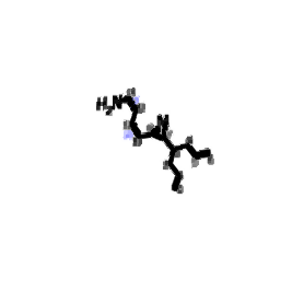 C=CCC(CC=C)C1N=C1/C=C\C=C/N